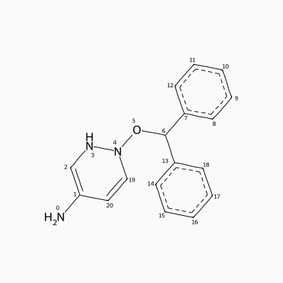 NC1=CNN(OC(c2ccccc2)c2ccccc2)C=C1